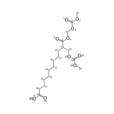 COC(=O)OCOC(=O)C(CCCCCCCCCC(=O)O)COC(=O)OC